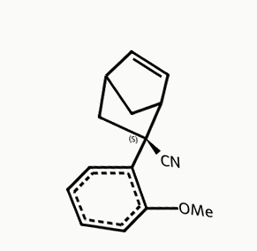 COc1ccccc1[C@]1(C#N)CC2C=CC1C2